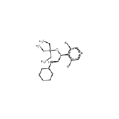 CC[Si](CC)(CC)OC(CNC1CCCCC1)c1c(Cl)cncc1Cl